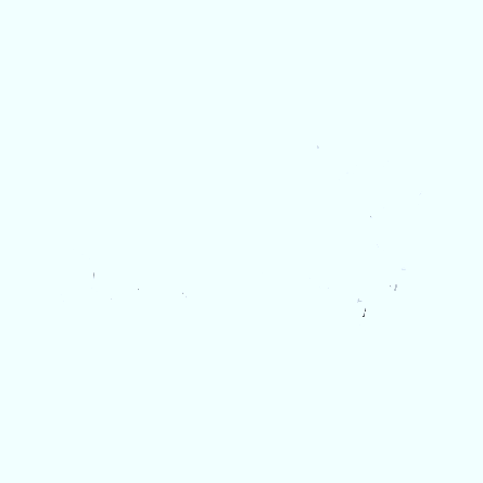 CCOC(=O)[C@@H](CCCCCC1CCN(C(=O)OCc2ccccc2)CC1)N[C@H]1COc2ccccc2N(CC(=O)OC(C)(C)C)C1=O